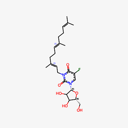 CC(C)=CCC/C(C)=C/CC/C(C)=C/Cn1c(=O)c(F)cn([C@@H]2O[C@H](CO)C(O)C2O)c1=O